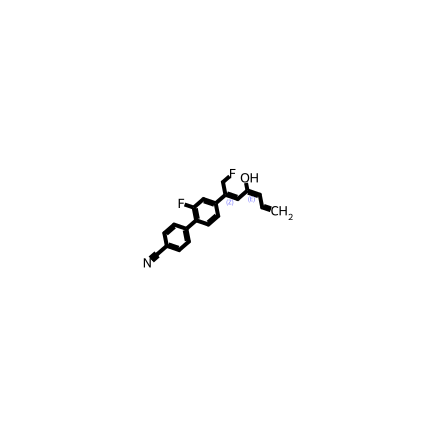 C=C/C=C(O)\C=C(/CF)c1ccc(-c2ccc(C#N)cc2)c(F)c1